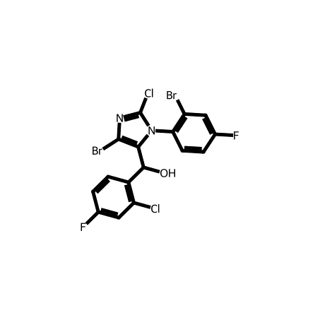 OC(c1ccc(F)cc1Cl)c1c(Br)nc(Cl)n1-c1ccc(F)cc1Br